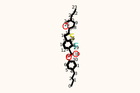 CCCCc1ccc(OC(=O)c2ccc3cc(C4CCC(CCC)CO4)sc3c2F)cc1